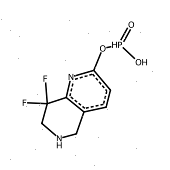 O=[PH](O)Oc1ccc2c(n1)C(F)(F)CNC2